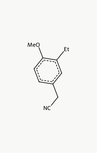 CCc1cc(CC#N)ccc1OC